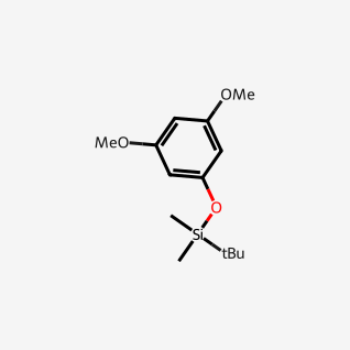 COc1cc(OC)cc(O[Si](C)(C)C(C)(C)C)c1